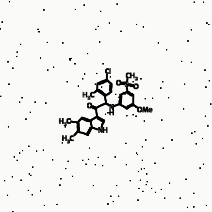 COc1cc(NC(C(=O)c2c[nH]c3cc(C)c(C)cc23)c2ccc(Cl)cc2C)cc(S(C)(=O)=O)c1